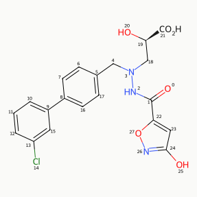 O=C(NN(Cc1ccc(-c2cccc(Cl)c2)cc1)C[C@@H](O)C(=O)O)c1cc(O)no1